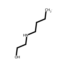 [CH2]CCCNCCO